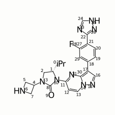 CC(C)[C@H]1CN(C2CNC2)C(=O)N1c1ccn2ncc(-c3ccc(-c4nc[nH]n4)c(F)c3)c2n1